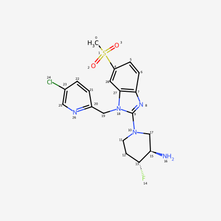 CS(=O)(=O)c1ccc2nc(N3CC[C@@H](F)[C@H](N)C3)n(Cc3ccc(Cl)cn3)c2c1